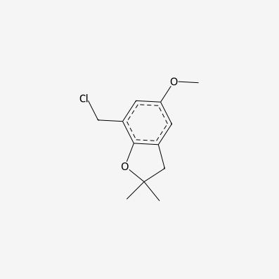 COc1cc(CCl)c2c(c1)CC(C)(C)O2